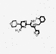 N=C(/C=C(\NCc1ccccc1F)c1ccon1)c1ncc(N2CCOCC2)c(N)n1